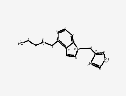 OCCNCc1cccc2c1ccn2Cc1c[nH]cn1